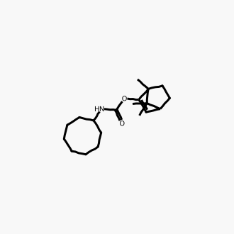 CC12CCC(C=C1OC(=O)NC1CCCCCCC1)C2(C)C